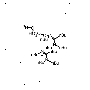 CCCCN=C(CCCC)N(CCCC)CCCC.CCCCN=C(CCCC)N(CCCC)CCCC.O=C(O)O.[2H]O[2H]